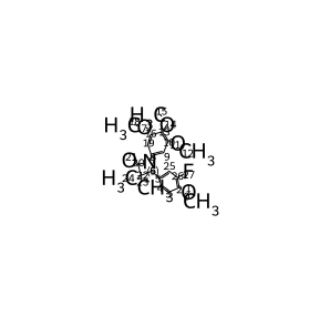 COc1ccc([C@@H]2N(c3cc(OC)c(OC)c(OC)c3)C(=O)C2(C)C)cc1F